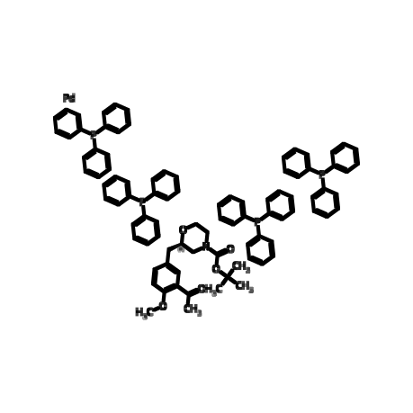 COc1ccc(C[C@@H]2CN(C(=O)OC(C)(C)C)CCO2)cc1C(C)=O.[Pd].c1ccc(P(c2ccccc2)c2ccccc2)cc1.c1ccc(P(c2ccccc2)c2ccccc2)cc1.c1ccc(P(c2ccccc2)c2ccccc2)cc1.c1ccc(P(c2ccccc2)c2ccccc2)cc1